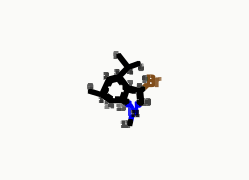 Cc1cc(C(C)C)c2c(Br)cn(C)c2c1